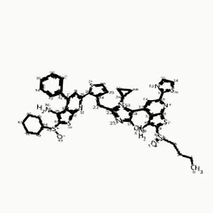 CCCC[S+]([O-])c1sc2nc(-c3nccs3)cc(-c3c(C)nc(Cc4ccsc4-c4cc(-c5ccccc5)c5c(N)c([S+]([O-])C6CCCCC6)sc5n4)n3C3CC3)c2c1N